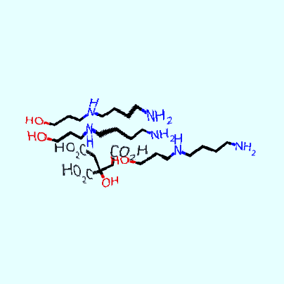 NCCCCNCCCO.NCCCCNCCCO.NCCCCNCCCO.O=C(O)CC(O)(CC(=O)O)C(=O)O